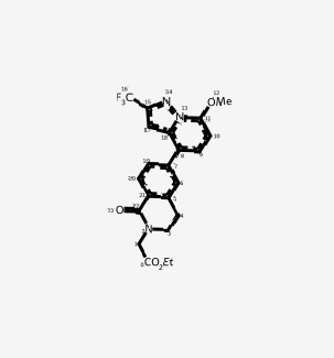 CCOC(=O)CN1CCc2cc(-c3ccc(OC)n4nc(C(F)(F)F)cc34)ccc2C1=O